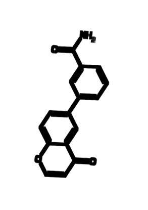 NC(=O)c1cccc(-c2ccc3occc(=O)c3c2)c1